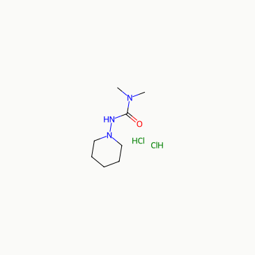 CN(C)C(=O)NN1CCCCC1.Cl.Cl